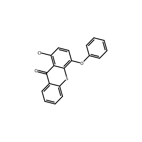 O=c1c2ccccc2sc2c(Oc3ccccc3)ccc(Cl)c12